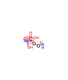 CC/C(C)=N/N(/C=C(\C)CO)C[C@]1(O)C(O)[C@H](O)C(CO)O[C@@H]1Oc1ccc(-c2cccc(C(=O)NC)c2)cc1C